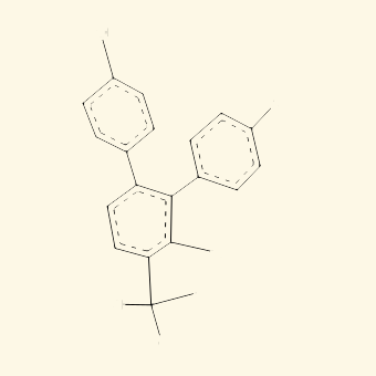 Oc1ccc(-c2ccc(C(Cl)(Cl)Cl)c(Cl)c2-c2ccc(O)cc2)cc1